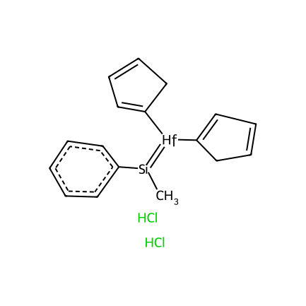 C[Si](c1ccccc1)=[Hf]([C]1=CC=CC1)[C]1=CC=CC1.Cl.Cl